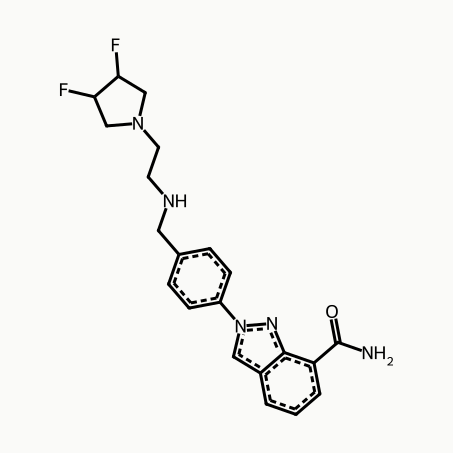 NC(=O)c1cccc2cn(-c3ccc(CNCCN4CC(F)C(F)C4)cc3)nc12